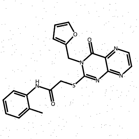 Cc1ccccc1NC(=O)CSc1nc2nccnc2c(=O)n1Cc1ccco1